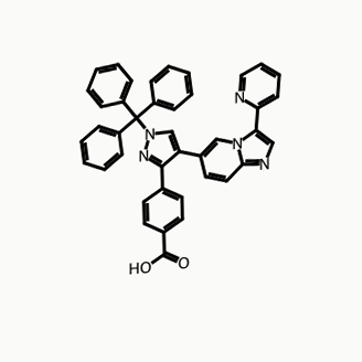 O=C(O)c1ccc(-c2nn(C(c3ccccc3)(c3ccccc3)c3ccccc3)cc2-c2ccc3ncc(-c4ccccn4)n3c2)cc1